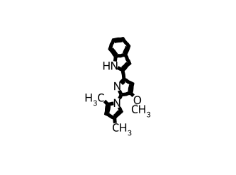 COC1=CC(c2cc3ccccc3[nH]2)=NC1n1cc(C)cc1C